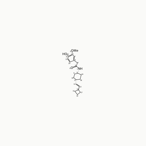 COc1cc(CC(=O)N[C@H]2CC[C@@H](/C=C/C3CCC3)CC2)ccc1O